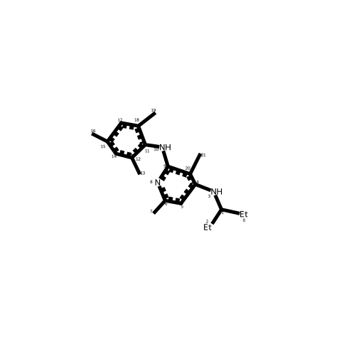 CCC(CC)Nc1cc(C)nc(Nc2c(C)cc(C)cc2C)c1C